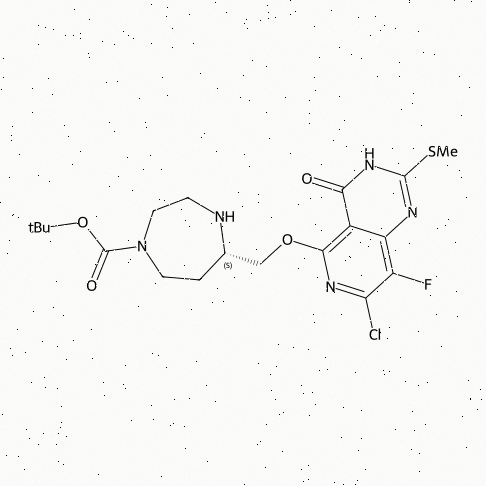 CSc1nc2c(F)c(Cl)nc(OC[C@@H]3CCN(C(=O)OC(C)(C)C)CCN3)c2c(=O)[nH]1